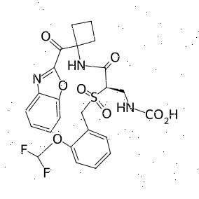 O=C(O)NC[C@H](C(=O)NC1(C(=O)c2nc3ccccc3o2)CCC1)S(=O)(=O)Cc1ccccc1OC(F)F